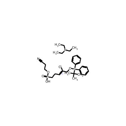 CC(C)(C)[Si](OC/C(Cl)=C/CCP(=O)(O)OCCC#N)(c1ccccc1)c1ccccc1.CCN(CC)CC